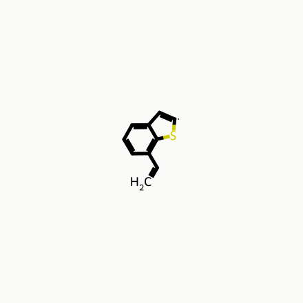 C=Cc1cccc2c[c]sc12